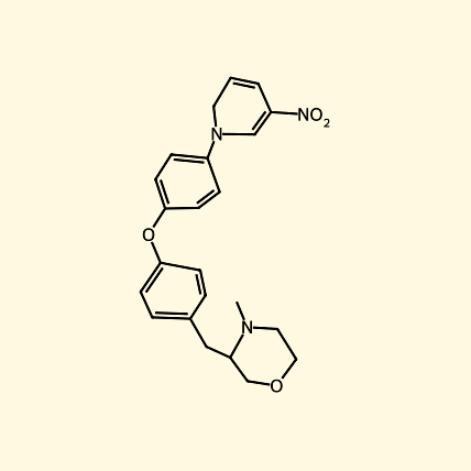 CN1CCOCC1Cc1ccc(Oc2ccc(N3C=C([N+](=O)[O-])C=CC3)cc2)cc1